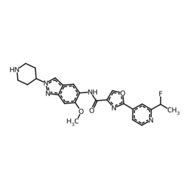 COc1cc2nn(C3CCNCC3)cc2cc1NC(=O)c1coc(-c2ccnc(C(C)F)c2)n1